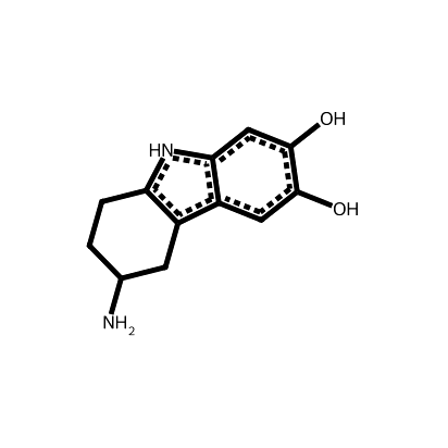 NC1CCc2[nH]c3cc(O)c(O)cc3c2C1